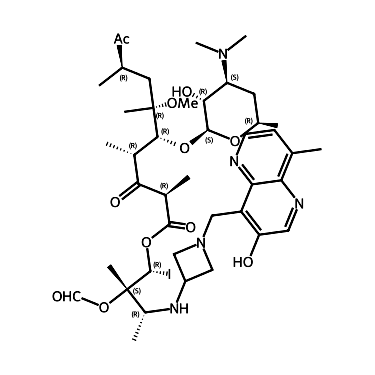 CO[C@](C)(C[C@@H](C)C(C)=O)[C@H](O[C@@H]1O[C@H](C)C[C@H](N(C)C)[C@H]1O)[C@@H](C)C(=O)[C@@H](C)C(=O)O[C@H](I)[C@@](C)(OC=O)[C@@H](C)NC1CN(Cc2c(O)cnc3c(C)ccnc23)C1